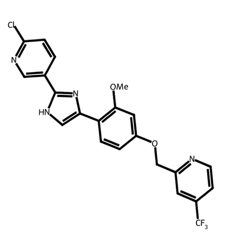 COc1cc(OCc2cc(C(F)(F)F)ccn2)ccc1-c1c[nH]c(-c2ccc(Cl)nc2)n1